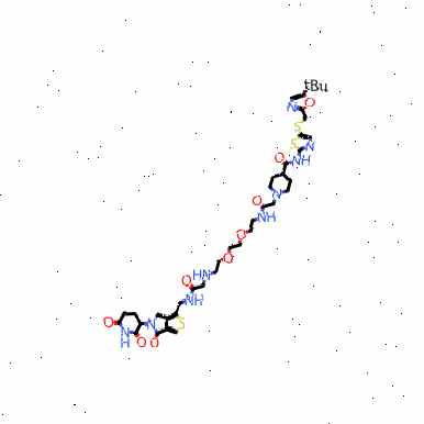 CC(C)(C)c1cnc(CSc2cnc(NC(=O)C3CCN(CC(=O)NCCOCCOCCNCC(=O)NCc4scc5c4CN(C4CCC(=O)NC4=O)C5=O)CC3)s2)o1